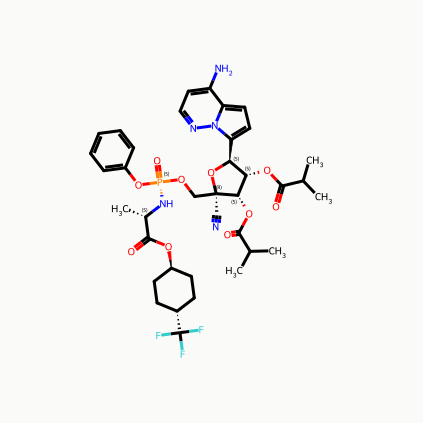 CC(C)C(=O)O[C@H]1[C@H](c2ccc3c(N)ccnn23)O[C@](C#N)(CO[P@@](=O)(N[C@@H](C)C(=O)O[C@H]2CC[C@H](C(F)(F)F)CC2)Oc2ccccc2)[C@H]1OC(=O)C(C)C